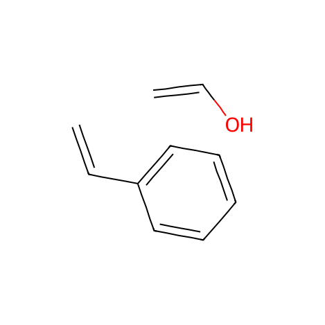 C=CO.C=Cc1ccccc1